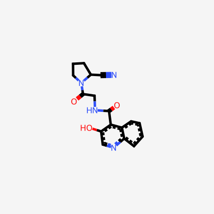 N#CC1CCCN1C(=O)CNC(=O)c1c(O)cnc2ccccc12